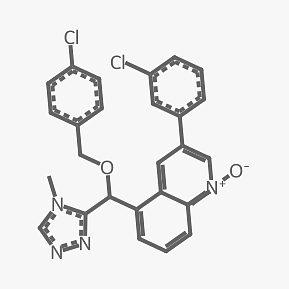 Cn1cnnc1C(OCc1ccc(Cl)cc1)C1=CC=CC23CCCC[N+]2([O-])C=C(c2cccc(Cl)c2)C=C13